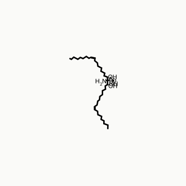 CCCCCCCC/C=C\CCCCCCCCC(O)C(N)(CCCCCCCC/C=C\CCCCCCCC)P(=O)(O)O